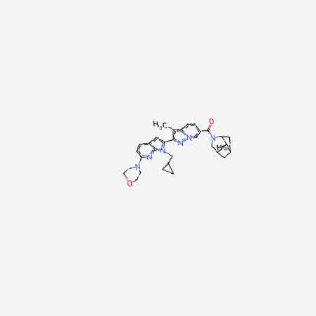 Cc1c(-c2cc3ccc(N4CCOCC4)nc3n2CC2CC2)nn2cc(C(=O)N3CC4CC5CC3[C@H]54)ccc12